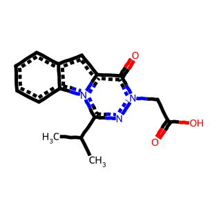 CC(C)c1nn(CC(=O)O)c(=O)c2cc3ccccc3n12